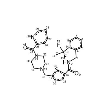 O=C(NCc1ccccc1C(F)(F)F)c1ccc(CN2CCN(C(=O)c3ccccn3)CC2)s1